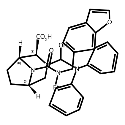 CCN(Cc1ccc2ccoc2c1)C(=O)N1[C@H]2CC[C@@H]1[C@@H](C(=O)O)N(C(O)N(c1ccccc1)c1ccccc1)C2